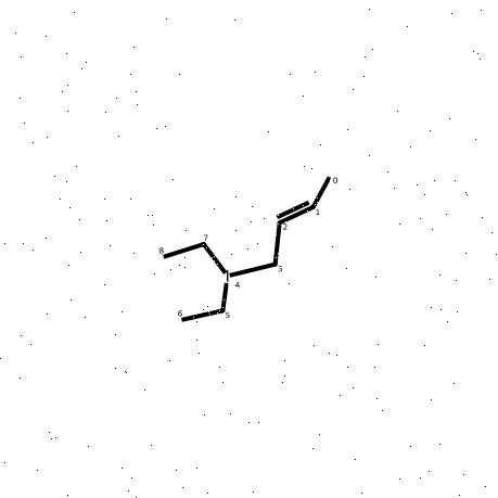 CC=CCI(CC)CC